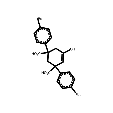 CC(C)(C)c1ccc(C2(C(=O)O)C=C(O)CC(C(=O)O)(c3ccc(C(C)(C)C)cc3)C2)cc1